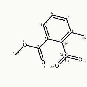 COC(=O)c1cccc(C)c1[SH](=O)=O